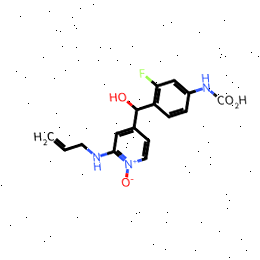 C=CCNc1cc(C(O)c2ccc(NC(=O)O)cc2F)cc[n+]1[O-]